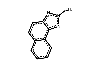 Cn1nc2ccc3ccccc3c2n1